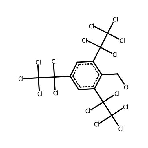 [O]Cc1c(C(Cl)(Cl)C(Cl)(Cl)Cl)cc(C(Cl)(Cl)C(Cl)(Cl)Cl)cc1C(Cl)(Cl)C(Cl)(Cl)Cl